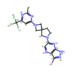 Cc1nc(N2CC3(CCN(c4cnc5c(I)n[nH]c5n4)C3)C2)cc(C(F)(F)F)n1